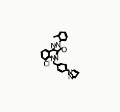 Cc1ccccc1-n1nc2c3cccc(Cl)c3n(Cc3ccc(-n4cccn4)cc3)nc-2c1=O